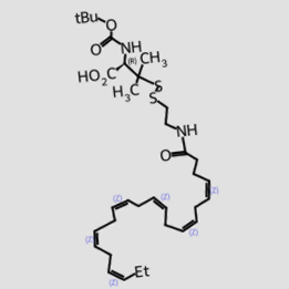 CC/C=C\C/C=C\C/C=C\C/C=C\C/C=C\C/C=C\CCC(=O)NCCSSC(C)(C)[C@H](NC(=O)OC(C)(C)C)C(=O)O